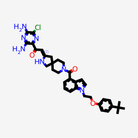 CC(C)(C)c1ccc(OCCn2ccc3c(C(=O)N4CCC5(CC4)CN/C(=C\C(=O)c4nc(Cl)c(N)nc4N)C5)cccc32)cc1